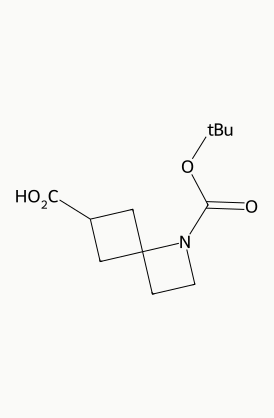 CC(C)(C)OC(=O)N1CCC12CC(C(=O)O)C2